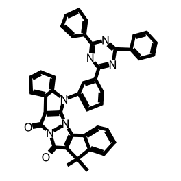 CC1(C)c2ccccc2-c2c1c(=O)n1c(=O)c3c4ccccc4n(-c4cccc(-c5nc(-c6ccccc6)nc(-c6ccccc6)n5)c4)c3n21